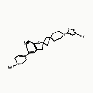 CCCc1noc(N2CCC3(CC2)CC2(Cc4cc(C5=CCN(SC)CC5)ncc4O2)C3)n1